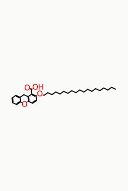 CCCCCCCCCCCCCCCCCCCOc1ccc2c(c1C(=O)O)Cc1ccccc1O2